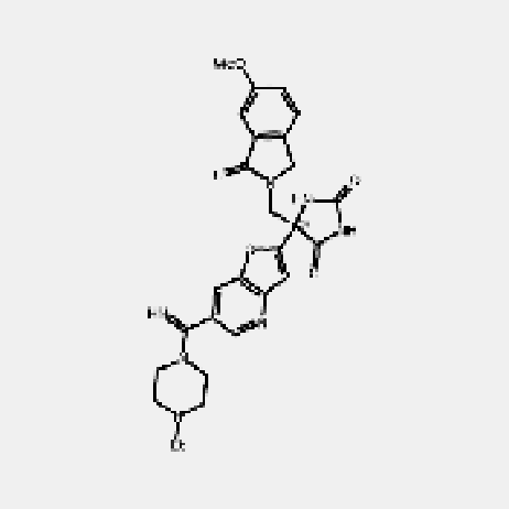 CCN1CCN(C(=N)c2cnc3cc([C@]4(CN5Cc6ccc(OC)cc6C5=O)NC(=O)NC4=O)oc3c2)CC1